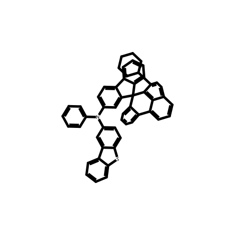 c1ccc(N(c2ccc3c(c2)C2(c4ccccc4-3)c3ccccc3-c3cccc4ccc(C5CCCCC5)c2c34)c2ccc3sc4ccccc4c3c2)cc1